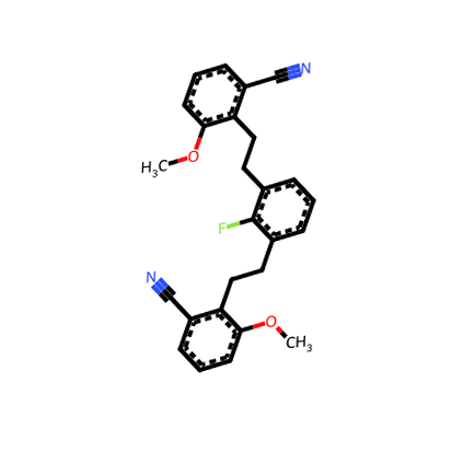 COc1cccc(C#N)c1CCc1cccc(CCc2c(C#N)cccc2OC)c1F